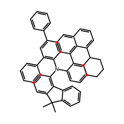 CC1(C)c2ccccc2-c2c(N(c3ccc(-c4ccccc4)cc3-c3ccccc3)c3ccccc3-c3cccc4cccc(C5CCCCC5)c34)cccc21